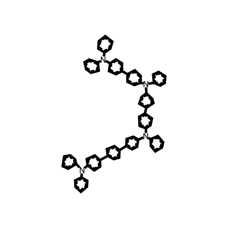 c1ccc(N(c2ccccc2)c2ccc(-c3ccc(-c4ccc(N(c5ccccc5)c5ccc(-c6ccc(N(c7ccccc7)c7ccc(-c8ccc(N(c9ccccc9)c9ccccc9)cc8)cc7)cc6)cc5)cc4)cc3)cc2)cc1